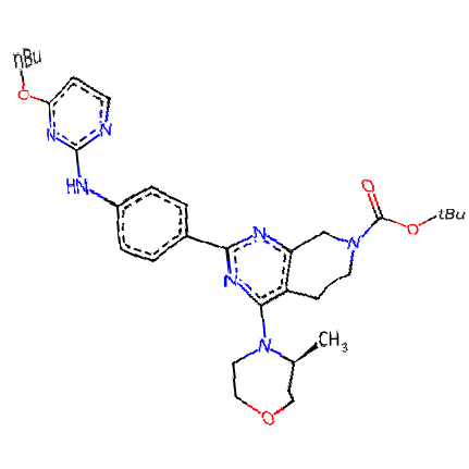 CCCCOc1ccnc(Nc2ccc(-c3nc4c(c(N5CCOC[C@@H]5C)n3)CCN(C(=O)OC(C)(C)C)C4)cc2)n1